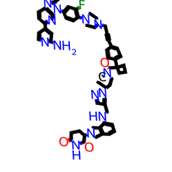 Cc1nc2ccc(-c3ccnc(N)c3)nc2n1-c1ccc(N2CCN(CC#Cc3ccc(C4(C(=O)N5CCC(n6cc(CNc7cccc8c7CN(C7CCC(=O)NC7=O)C8)cn6)CC5)CCC4)cc3)CC2)c(F)c1